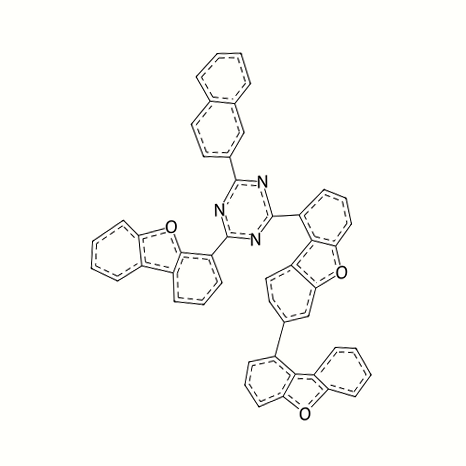 c1ccc2cc(-c3nc(-c4cccc5c4oc4ccccc45)nc(-c4cccc5oc6cc(-c7cccc8oc9ccccc9c78)ccc6c45)n3)ccc2c1